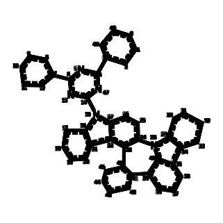 c1ccc(-c2nc(-c3ccccc3)nc(-n3c4ccccc4c4c5c(ccc43)-n3c4ccccc4c4cccc(c43)-c3ccccc3-5)n2)cc1